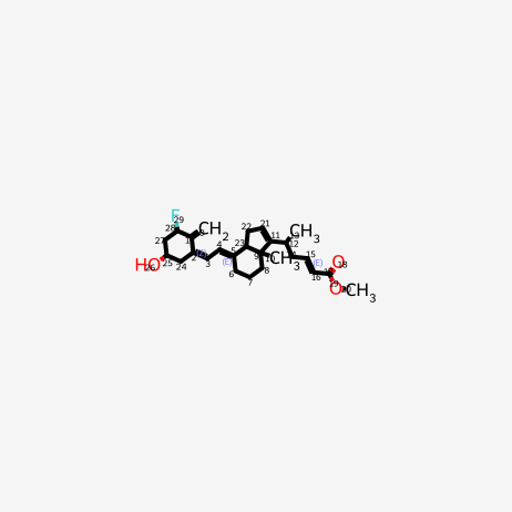 C=C1/C(=C\C=C2/CCCC3(C)C(C(C)C/C=C/C(=O)OC)=CCC23)CC(O)CC1F